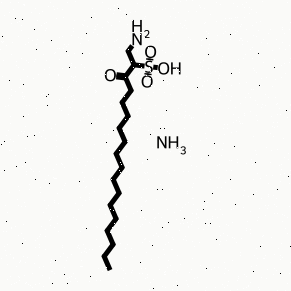 CCCCCCCCCCCCCCCC(=O)C(CN)S(=O)(=O)O.N